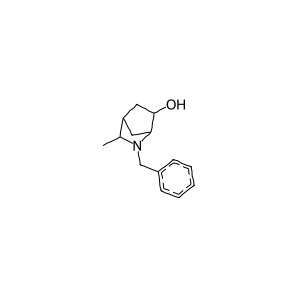 CC1C2CC(O)C(C2)N1Cc1ccccc1